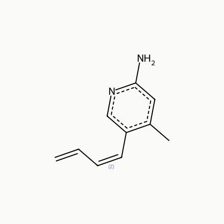 C=C/C=C\c1cnc(N)cc1C